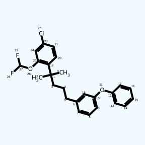 CC(C)(CCCc1cccc(Oc2ccccc2)c1)c1ccc(Cl)cc1OC(F)F